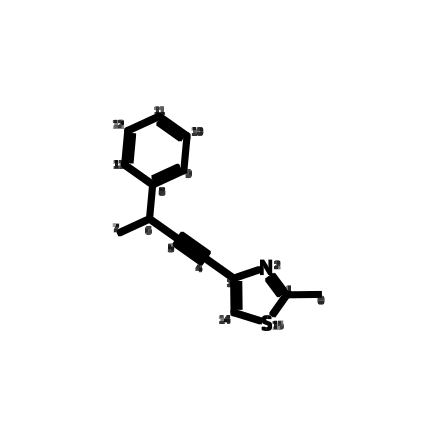 Cc1nc(C#CC(C)c2ccccc2)cs1